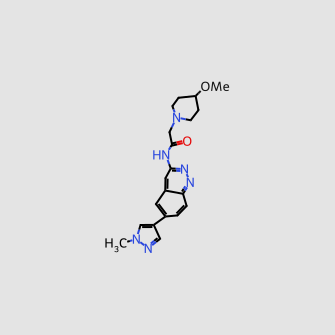 COC1CCN(CC(=O)Nc2cc3cc(-c4cnn(C)c4)ccc3nn2)CC1